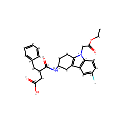 CCOC(=O)Cn1c2c(c3cc(F)ccc31)CC(NC(=O)C(CC(=O)O)Cc1ccccc1)CC2